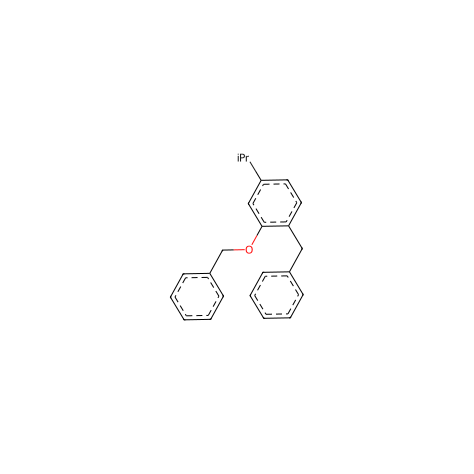 CC(C)c1ccc(Cc2ccccc2)c(OCc2ccccc2)c1